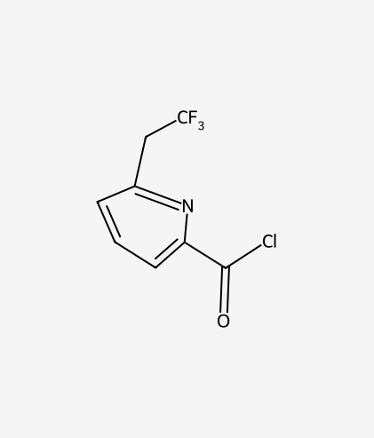 O=C(Cl)c1cccc(CC(F)(F)F)n1